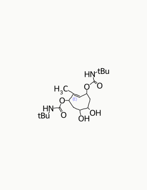 C/C1=C\C(OC(=O)NC(C)(C)C)CC(O)C(O)CC1OC(=O)NC(C)(C)C